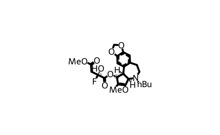 CCCCN1CCc2cc3c(cc2[C@@H]2[C@H](OC(=O)[C@@](O)(F)CC(=O)OC)C(OC)=C[C@@H]21)OCO3